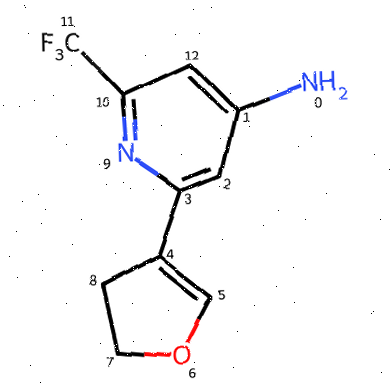 Nc1cc(C2=COCC2)nc(C(F)(F)F)c1